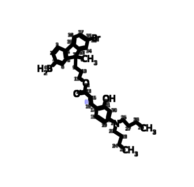 Bc1ccc2c(c1)C(C)(CCCOC(=O)/C=C/c1ccc(N(CCCC)CCCC)cc1O)c1cc(Br)ccc1-2